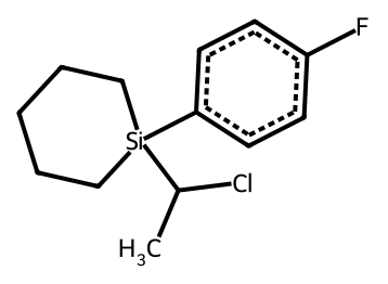 CC(Cl)[Si]1(c2ccc(F)cc2)CCCCC1